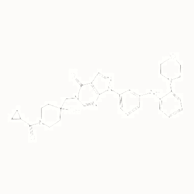 O=C(C1CC1)N1CCC(O)(Cn2cnc3c(cnn3-c3cccc(Nc4ccccc4N4CCOCC4)c3)c2=O)CC1